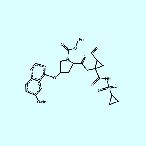 C=CC1CC1(NC(=O)C1CC(Oc2nccc3ccc(OC)cc23)CN1C(=O)OC(C)(C)C)C(=O)NS(=O)(=O)C1CC1